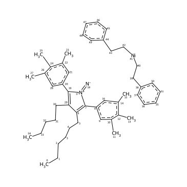 CCCCCCC1=C(c2cc(C)c(C)c(C)c2)[N+](=[N-])C(c2cc(C)c(C)c(C)c2)=C1CCCCC.c1ccc(C[CH2][Ni][CH2]Cc2ccccc2)cc1